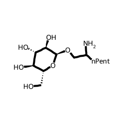 CCCCCC(N)CO[C@H]1O[C@H](CO)[C@@H](O)[C@H](O)[C@H]1O